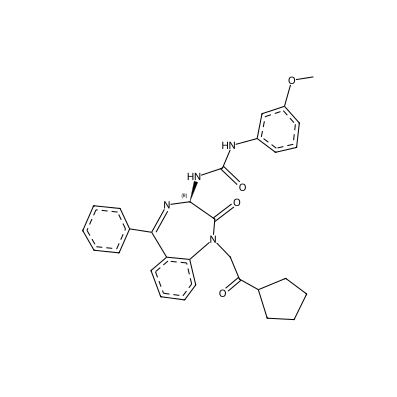 COc1cccc(NC(=O)N[C@@H]2N=C(c3ccccc3)c3ccccc3N(CC(=O)C3CCCC3)C2=O)c1